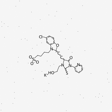 O=C1C(=C=C=C2Oc3ccc(Cl)cc3N2CCCCS(=O)(=O)[O-])N(CCO)C(=S)N1c1ccccn1.[K+]